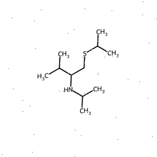 CC(C)NC(CSC(C)C)C(C)C